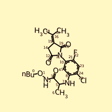 CCCCONC(=O)C(C)Nc1cc(N2C(=O)CC(=C(C)C)C2=O)c(F)cc1Cl